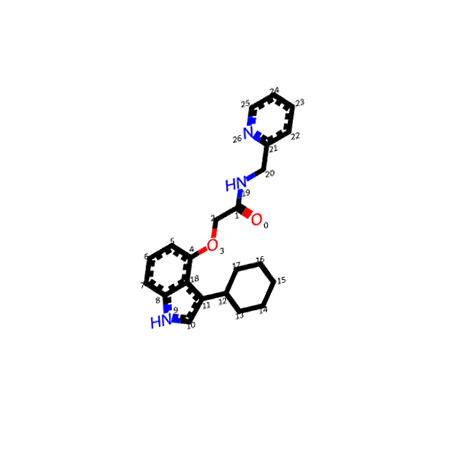 O=C(COc1cccc2[nH]cc(C3CCCCC3)c12)NCc1ccccn1